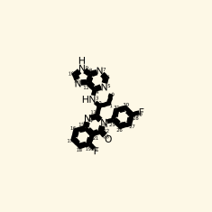 CCC(Nc1ncnc2[nH]cnc12)c1nc2cccc(F)c2c(=O)n1-c1ccc(F)cc1